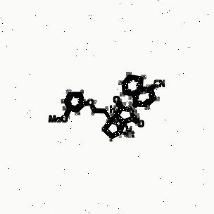 CC[C@@]12CC[C@@](CCOc3cccc(OC)c3)(O1)[C@H]1C(=O)N(c3ccc(C#N)c4ccccc34)C(=O)[C@H]12